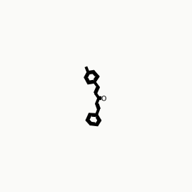 Cc1ccc(C=CC(=O)C=Cc2ccccc2)cc1